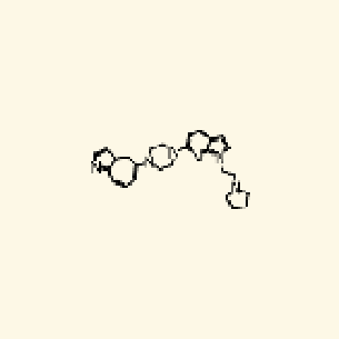 C1=CC2=NC=CC2CC(N2CCN(c3ccc4ccn(CCN5CCCC5)c4n3)CC2)=C1